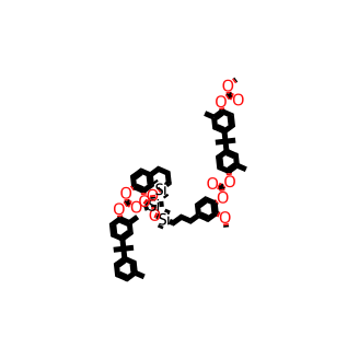 COC(=O)Oc1ccc(C(C)(C)c2ccc(OC(=O)Oc3ccc(CCC[Si](C)(C)O[Si](C)(C)O[Si](C)(C)CCCc4ccc(OC(=O)Oc5ccc(C(C)(C)c6cccc(C)c6)cc5C)c(OC)c4)cc3OC)c(C)c2)cc1C